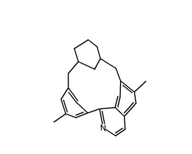 Cc1cc2cc(c1)-c1nccc3cc(C)c(cc13)CC1CCCC(C2)C1